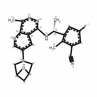 Cc1c(C#N)cc(F)cc1[C@@H](C)Nc1nnc(C)c2ncc(N3CC4CC(C3)O4)cc12